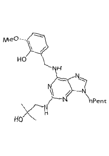 CCCCCn1cnc2c(NCc3cccc(OC)c3O)nc(NCC(C)(C)O)nc21